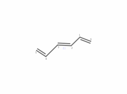 C=C/C=C/C=C